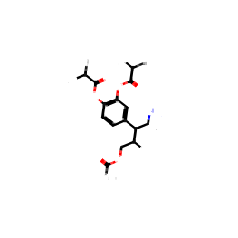 CC(C)COC(=O)OCC(C)C(c1ccc(OC(=O)C(C)C(C)C)c(OC(=O)C(C)C(C)C)c1)[C@H](N)C(=O)O